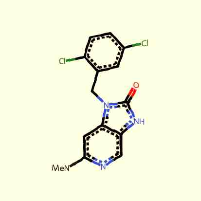 CNc1cc2c(cn1)[nH]c(=O)n2Cc1cc(Cl)ccc1Cl